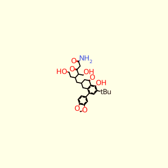 CC(C)(C)c1cc(-c2ccc3c(c2)OCO3)c2c(c1O)C(=O)CC(CC(CCO)C(CO)C(=O)CC(N)=O)C2